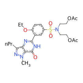 CCCc1nn(C)c2c(=O)[nH]c(-c3cc(S(=O)(=O)N(CCOC(C)=O)CCOC(C)=O)ccc3OCC)nc12